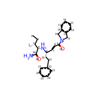 CC[C@@H](C)[C@H](N[C@H](/C=C/C(=O)N1Cc2ccccc2C1)CCc1ccccc1)C(N)=O